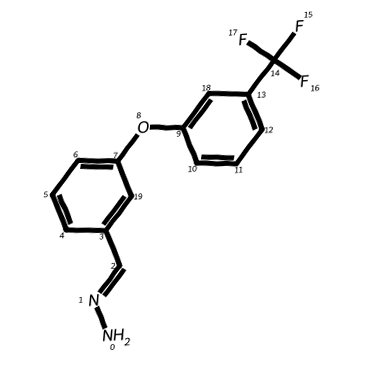 NN=Cc1cccc(Oc2cccc(C(F)(F)F)c2)c1